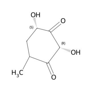 CC1C[C@H](O)C(=O)[C@H](O)C1=O